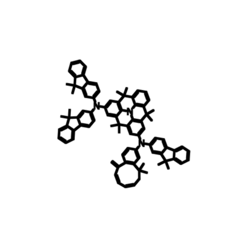 C=C1/C=C\C=C/CC(C)(C)c2cc(N(c3ccc4c(c3)C(C)(C)c3ccccc3-4)c3cc4c5c(c3)C(C)(C)c3cc(N(c6ccc7c(c6)C(C)(C)c6ccccc6-7)c6ccc7c(c6)C(C)(C)c6ccccc6-7)cc6c3N5c3c(cccc3C6(C)C)C4(C)C)ccc21